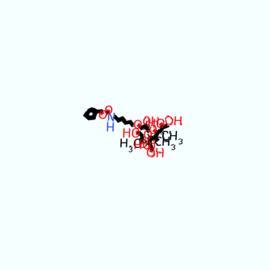 CC(C(OC[C@H](O)COCCCCCCNC(=O)OCc1ccccc1)[C@@H](C)C(O)CO)[C@H](OC(CO)[C@@H](C)O)[C@@H](O)CO